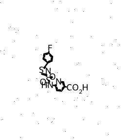 O=C(O)c1ccc(NS(=O)(=O)c2csc(-c3ccc(F)cc3)n2)nc1